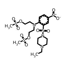 CCN1CCN(S(=O)(=O)c2cc([N+](=O)[O-])ccc2N(CCOS(C)(=O)=O)CCOS(C)(=O)=O)CC1